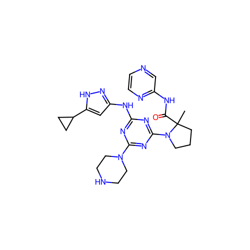 CC1(C(=O)Nc2cnccn2)CCCN1c1nc(Nc2cc(C3CC3)[nH]n2)nc(N2CCNCC2)n1